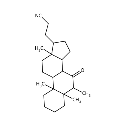 CC1C(=O)C2C3CCC(CCC#N)C3(C)CCC2C2(C)CCCCC12C